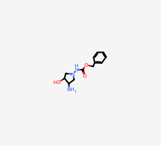 NC1CN(NC(=O)OCc2ccccc2)CC1O